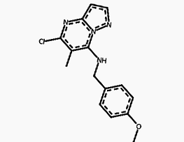 COc1ccc(CNc2c(C)c(Cl)nc3ccnn23)cc1